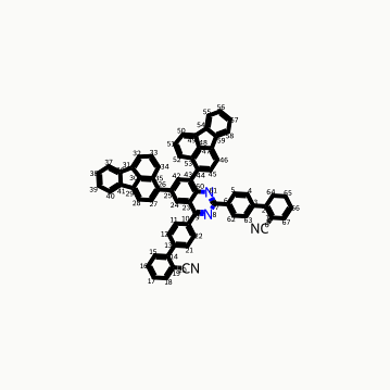 N#CC1=C(c2ccc(-c3nc(-c4ccc(-c5ccccc5C#N)cc4)c4cc(-c5ccc6c7c(cccc57)-c5ccccc5-6)cc(-c5ccc6c7c(cccc57)-c5ccccc5-6)c4n3)cc2)CCC=C1